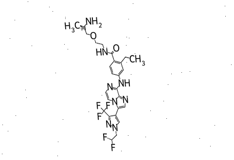 CCc1cc(Nc2nccn3c(-c4cn(CC(F)F)nc4C(F)(F)F)cnc23)ccc1C(=O)NCCOC[C@@H](C)N